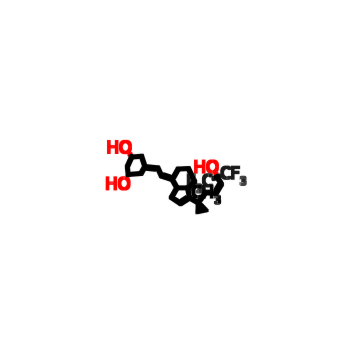 C[C@]12CCC/C(=C\C=C3\CC(O)C[C@H](O)C3)C1CC=C2C1(C/C=C\C(O)(C(F)(F)F)C(F)(F)F)CC1